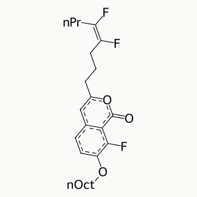 CCCCCCCCOc1ccc2cc(CCC/C(F)=C(/F)CCC)oc(=O)c2c1F